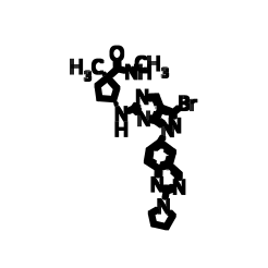 CNC(=O)[C@]1(C)CC[C@@H](Nc2ncc3c(Br)nn(-c4ccc5nc(N6CCCC6)ncc5c4)c3n2)C1